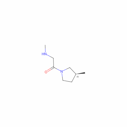 CNCC(=O)N1CC[C@H](C)C1